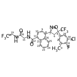 Cc1cc(C2(C(F)(F)F)CC(c3ccc(C(=O)NCC(=O)NCC(F)(F)F)c4ccccc34)=NO2)cc(Cl)c1F